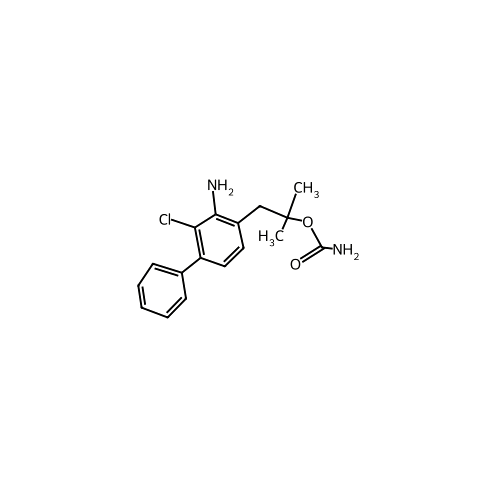 CC(C)(Cc1ccc(-c2ccccc2)c(Cl)c1N)OC(N)=O